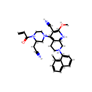 C=CC(=O)N1CCN(c2c(C#N)c(OC)nc3c2CCN(c2cccc4cccc(C)c24)C3)CC1CC#N